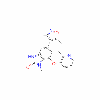 Cc1ncccc1Oc1cc(-c2c(C)noc2C)cc2[nH]c(=O)n(C)c12